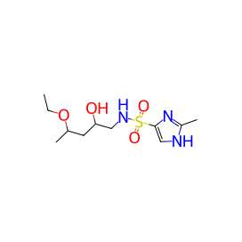 CCOC(C)CC(O)CNS(=O)(=O)c1c[nH]c(C)n1